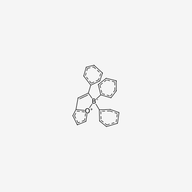 C1=C(c2ccccc2)[B-](c2ccccc2)(c2ccccc2)[o+]2cccc21